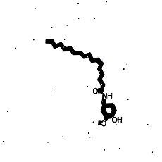 CCCCCCCCCCC/C=C\CCCCC(=O)NCc1ccc(O)c(OC)c1